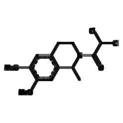 COc1cc2c(cc1OC)C(C)N(C(=O)C(Cl)Cl)CC2